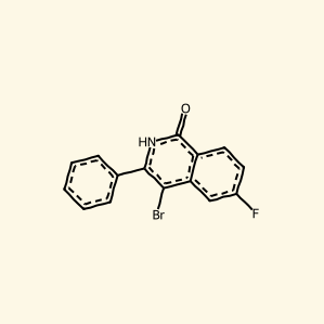 O=c1[nH]c(-c2ccccc2)c(Br)c2cc(F)ccc12